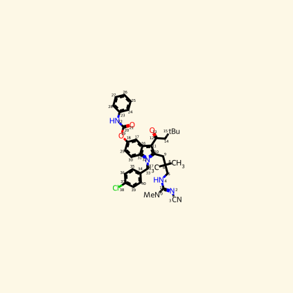 CN/C(=N\C#N)NCC(C)(C)Cc1c(C(=O)CC(C)(C)C)c2cc(OC(=O)Nc3ccccc3)ccc2n1Cc1ccc(Cl)cc1